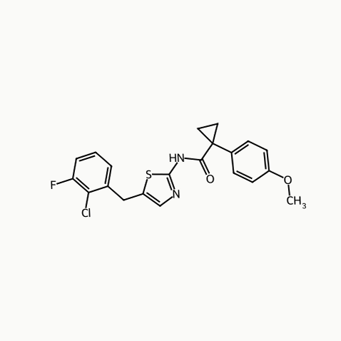 COc1ccc(C2(C(=O)Nc3ncc(Cc4cccc(F)c4Cl)s3)CC2)cc1